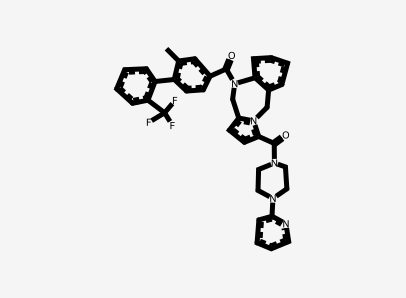 Cc1cc(C(=O)N2Cc3ccc(C(=O)N4CCN(c5ccccn5)CC4)n3Cc3ccccc32)ccc1-c1ccccc1C(F)(F)F